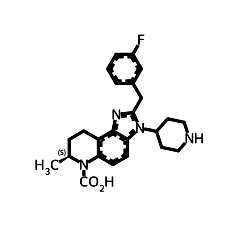 C[C@H]1CCc2c(ccc3c2nc(Cc2cccc(F)c2)n3C2CCNCC2)N1C(=O)O